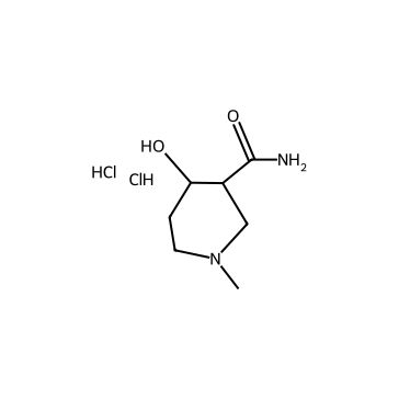 CN1CCC(O)C(C(N)=O)C1.Cl.Cl